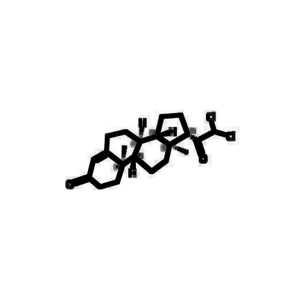 C[C@]12CC[C@H]3[C@@H](CCC4=CC(=O)CC[C@@]43C)[C@@H]1CC[C@@H]2C(=O)C(Cl)Cl